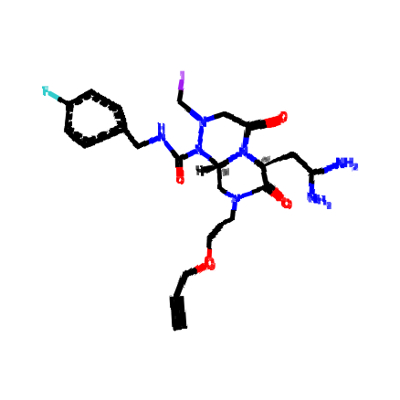 C#CCOCCN1C[C@H]2N(C(=O)CN(CI)N2C(=O)NCc2ccc(F)cc2)[C@@H](CC(N)N)C1=O